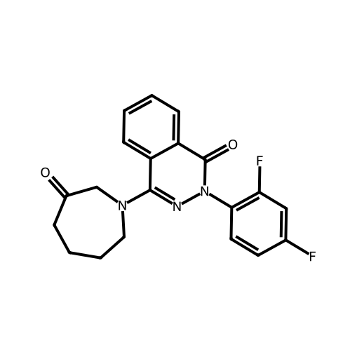 O=C1CCCCN(c2nn(-c3ccc(F)cc3F)c(=O)c3ccccc23)C1